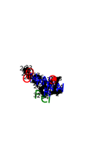 Cc1ccnc(C2CC2)c1-n1c(=O)nc(N2CCN(C(=O)OC(C)(C)C)C[C@@H]2C)c2cc(F)c(Cl)nc21